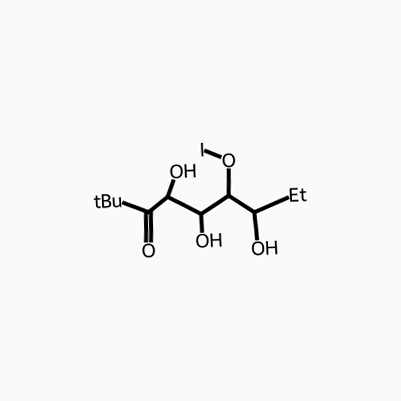 CCC(O)C(OI)C(O)C(O)C(=O)C(C)(C)C